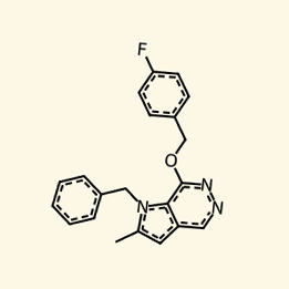 Cc1cc2cnnc(OCc3ccc(F)cc3)c2n1Cc1ccccc1